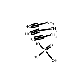 C#CC.C#CC.C#CC.O=P(O)(O)O